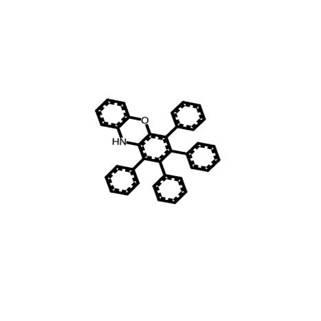 c1ccc(-c2c3c(c(-c4ccccc4)c(-c4ccccc4)c2-c2ccccc2)Oc2ccccc2N3)cc1